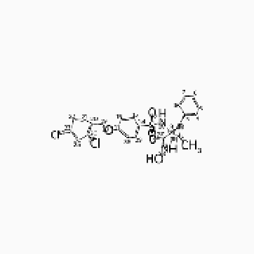 C[C@@H]1[C@H](c2ccccc2)[C@]1(NS(=O)(=O)c1ccc(OCc2ccc(Cl)cc2Cl)cc1)C(=O)NO